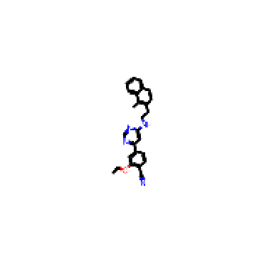 CCOc1cc(-c2cc(NCCc3ccc4ccccc4c3C)ncn2)ccc1C#N